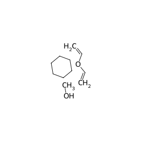 C1CCCCC1.C=COC=C.CO